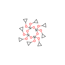 C1CC1O[Si]1(OC2CC2)O[Si](OC2CC2)(OC2CC2)O[Si](OC2CC2)(OC2CC2)O[Si](OC2CC2)(OC2CC2)O1